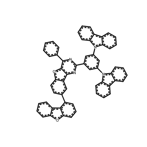 c1ccc(-c2nc(-c3cc(-n4c5ccccc5c5ccccc54)cc(-n4c5ccccc5c5ccccc54)c3)nc3c2oc2ccc(-c4cccc5oc6ccccc6c45)cc23)cc1